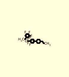 CCCC1CCC(c2cc(F)c(C(F)(F)OC(C)c3cc(F)c(F)c(F)c3)c(F)c2)CC1